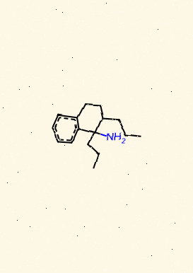 CCCC1CCc2ccccc2C1(N)CCC